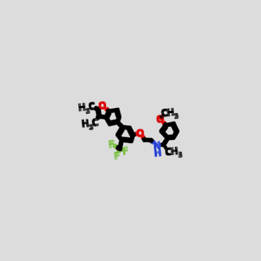 COc1cccc([C@@H](C)NCCOc2cc(-c3ccc4oc(C)c(C)c4c3)cc(C(F)(F)F)c2)c1